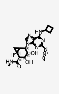 CNC(=O)[C@@H]1[C@@H](O)[C@@H](O)[C@H](n2cnc3c(NC4CCC4)nc(N=[N+]=[N-])nc32)C2C[C@H]21